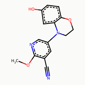 COc1ncc(N2CCOc3ccc(O)cc32)cc1C#N